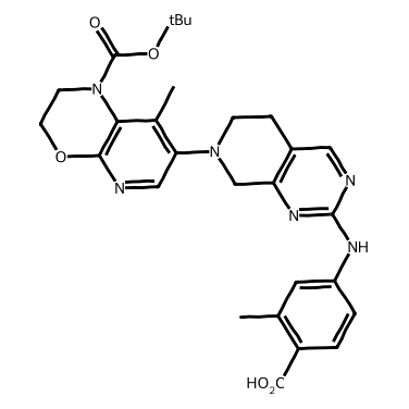 Cc1cc(Nc2ncc3c(n2)CN(c2cnc4c(c2C)N(C(=O)OC(C)(C)C)CCO4)CC3)ccc1C(=O)O